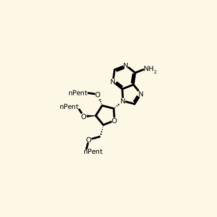 CCCCCOC[C@H]1O[C@@H](n2cnc3c(N)ncnc32)[C@@H](OCCCCC)[C@@H]1OCCCCC